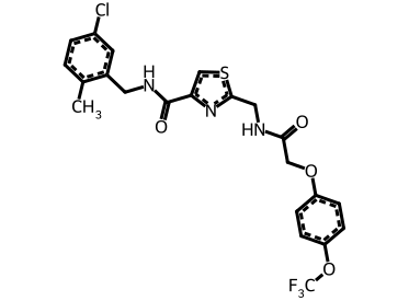 Cc1ccc(Cl)cc1CNC(=O)c1csc(CNC(=O)COc2ccc(OC(F)(F)F)cc2)n1